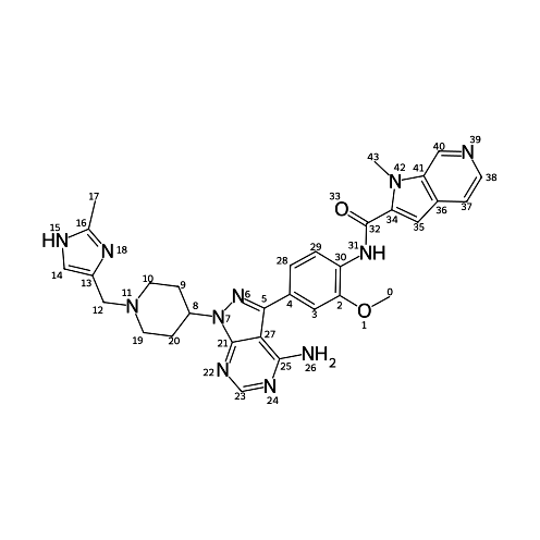 COc1cc(-c2nn(C3CCN(Cc4c[nH]c(C)n4)CC3)c3ncnc(N)c23)ccc1NC(=O)c1cc2ccncc2n1C